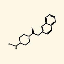 CC(C)NC1CCN(C(=O)Cc2ccc3ccccc3c2)CC1